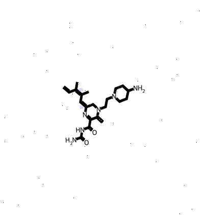 C=C/C(C)=C(C)\C=C1/CN(CCN2CCC(N)CC2)C(=C)C(C(=O)NC(N)=O)=N1